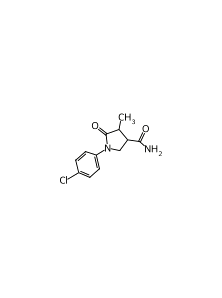 CC1C(=O)N(c2ccc(Cl)cc2)CC1C(N)=O